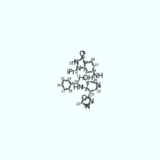 CC(C)n1c2cc(Nc3cc(N[C@H](CO)c4ccccc4)c(-c4nnco4)cn3)ccc2c(=O)n1C